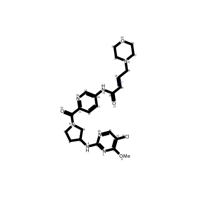 COc1nc(NC2CCN(C(=O)c3ccc(NC(=O)/C=C/CN4CCOCC4)cn3)C2)ncc1Cl